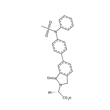 CC(C)[C@@H](C(=O)O)N1Cc2ccc(-c3ccc(N(c4ccccc4)S(C)(=O)=O)cc3)cc2C1=O